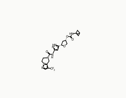 O=C(NC12CC(C1)C2)O[C@@H]1CO[C@H](c2cc(NC(=O)N3CCn4ncc(C(F)(F)F)c4C3)n[nH]2)C1